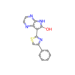 Oc1[nH]c2nccnc2c1-c1nc(-c2ccccc2)cs1